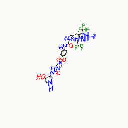 O=C(Nc1ccc(S(=O)(=O)N2CCN(C(=O)N[C@@H]3CNC[C@H]3O)CC2)cc1)c1ncc(Cc2c(C(F)(F)F)n[nH]c2CC(F)F)[nH]1